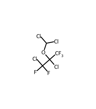 FC(F)(F)C(Cl)(OC(Cl)Cl)C(F)(F)Cl